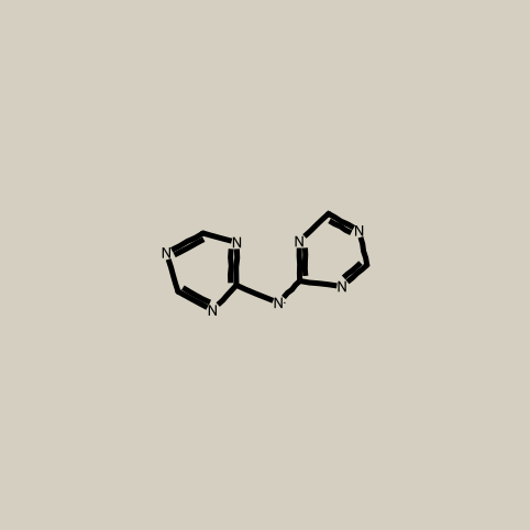 c1ncnc([N]c2ncncn2)n1